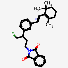 CC1=C(/C=C/c2cccc(C(CF)CCN3C(=O)c4ccccc4C3=O)c2)C(C)(C)CCC1